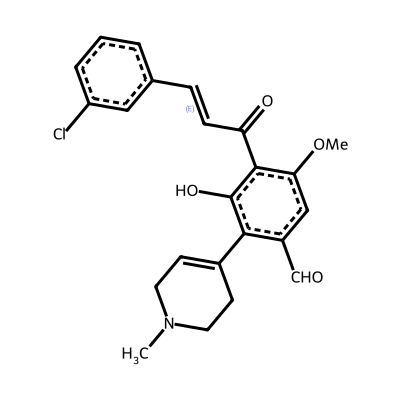 COc1cc(C=O)c(C2=CCN(C)CC2)c(O)c1C(=O)/C=C/c1cccc(Cl)c1